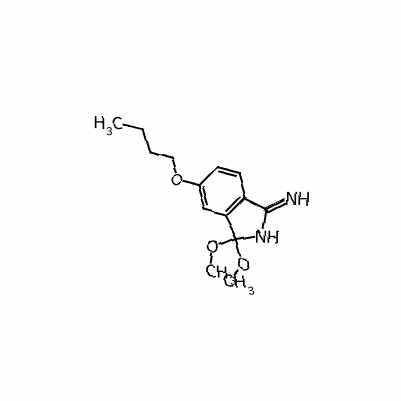 CCCCOc1ccc2c(c1)C(OC)(OC)NC2=N